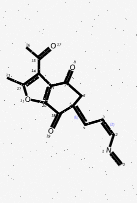 C=N/C=C\C=C1/CC(=O)c2c(oc(C)c2C(C)=O)C1=O